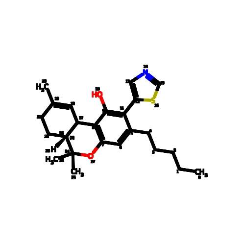 CCCCCc1cc2c(c(O)c1-c1cncs1)C1C=C(C)CC[C@H]1C(C)(C)O2